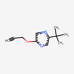 C#CCOc1cnc(C(C)(C)C)cn1